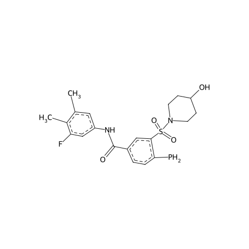 Cc1cc(NC(=O)c2ccc(P)c(S(=O)(=O)N3CCC(O)CC3)c2)cc(F)c1C